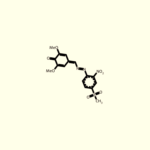 COC1=CC(=CN=Nc2ccc(S(C)(=O)=O)cc2[N+](=O)[O-])C=C(OC)C1=O